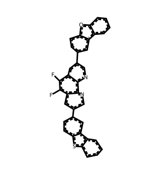 Fc1c(F)c2cc(-c3ccc4sc5ccccc5c4c3)cnc2c2ncc(-c3ccc4oc5ccccc5c4c3)cc12